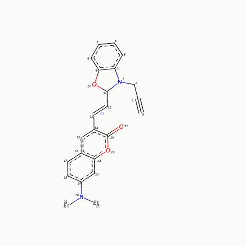 C#CCN1c2ccccc2OC1/C=C/c1cc2ccc(N(CC)CC)cc2oc1=O